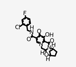 O=C(NCc1ccc(F)cc1Cl)c1cn2c(c(O)c1=O)C(=O)N1[C@H]3CC[C@H](C3)O[C@@H]1C2